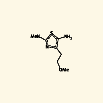 CNc1nc(CCOC)c(N)s1